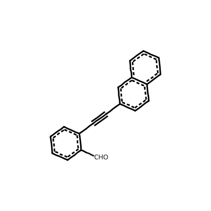 O=Cc1ccccc1C#Cc1ccc2ccccc2c1